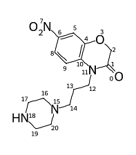 O=C1COc2cc([N+](=O)[O-])ccc2N1CCCN1CCNCC1